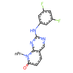 CCCn1c(=O)ccc2cnc(Nc3cc(F)cc(F)c3)nc21